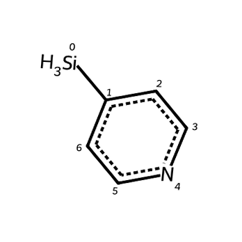 [SiH3]c1ccncc1